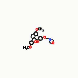 COc1ccc(C2=C(C(O)c3ccc(OCCN4CCOCC4)cc3)c3ccc(OC)cc3CC2)cc1